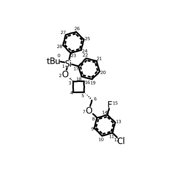 CC(C)(C)[Si](O[C@H]1C[C@@H](COc2ccc(Cl)cc2F)C1)(c1ccccc1)c1ccccc1